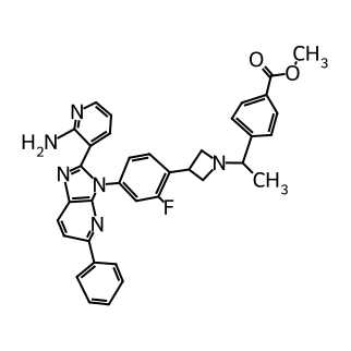 COC(=O)c1ccc(C(C)N2CC(c3ccc(-n4c(-c5cccnc5N)nc5ccc(-c6ccccc6)nc54)cc3F)C2)cc1